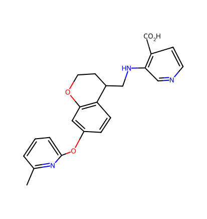 Cc1cccc(Oc2ccc3c(c2)OCCC3CNc2cnccc2C(=O)O)n1